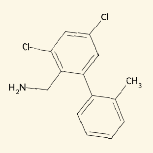 Cc1ccccc1-c1cc(Cl)cc(Cl)c1CN